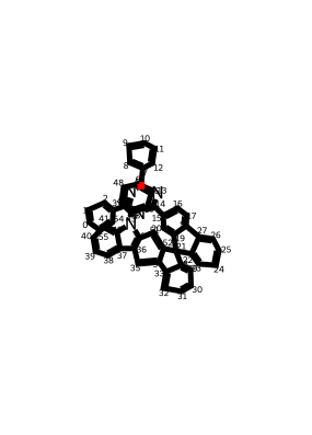 c1ccc(-c2nc(-c3ccccc3)nc(-c3ccc4c(c3)C3(c5ccccc5-4)c4ccccc4-c4cc5c6ccccc6n(-c6ccccc6)c5cc43)n2)cc1